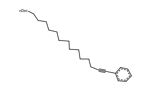 CCCCCCCCCCCCCCCCCCCCCCC#Cc1ccccc1